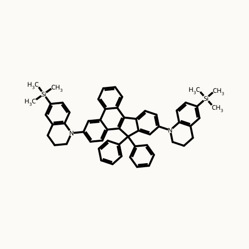 C[Si](C)(C)c1ccc2c(c1)CCCN2c1ccc2c(c1)C(c1ccccc1)(c1ccccc1)c1c-2c2ccccc2c2cc(N3CCCc4cc([Si](C)(C)C)ccc43)ccc12